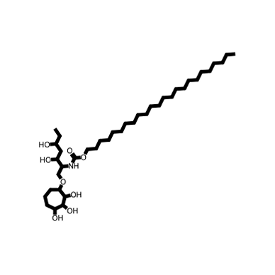 CCCCCCCCCCCCCCCCCCCCCCCCOC(=O)NC(COC1CCCC(O)C(O)C1O)C(O)CC(O)CC